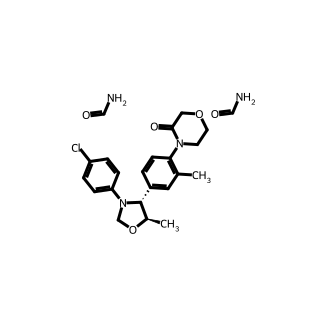 Cc1cc([C@@H]2[C@@H](C)OCN2c2ccc(Cl)cc2)ccc1N1CCOCC1=O.NC=O.NC=O